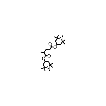 CC(CCC(=O)OC1CC(C)(C)N(C)C(C)(C)C1)C(=O)OC1CC(C)(C)N(C)C(C)(C)C1